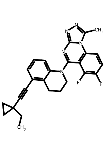 CCC1(C#Cc2cccc3c2CCCN3c2nc3nnc(C)n3c3ccc(F)c(F)c23)CC1